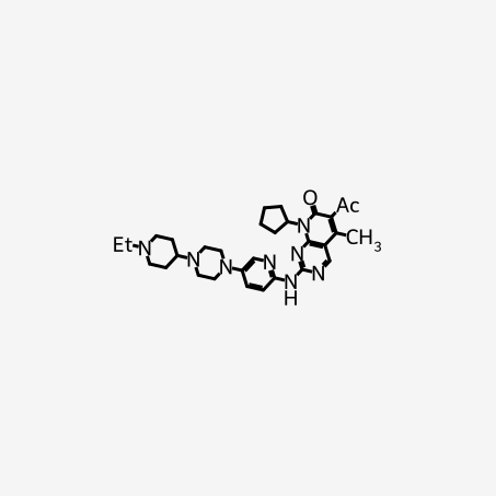 CCN1CCC(N2CCN(c3ccc(Nc4ncc5c(C)c(C(C)=O)c(=O)n(C6CCCC6)c5n4)nc3)CC2)CC1